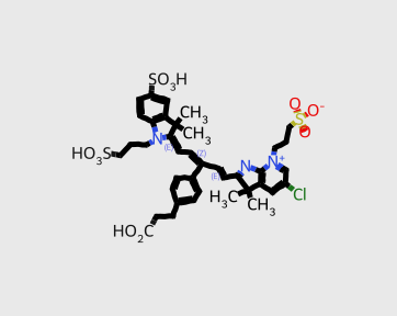 CC1(C)C(/C=C/C(=C/C=C2/N(CCCS(=O)(=O)O)c3ccc(S(=O)(=O)O)cc3C2(C)C)c2ccc(CCC(=O)O)cc2)=Nc2c1cc(Cl)c[n+]2CCCS(=O)(=O)[O-]